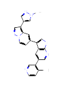 Cc1ccncc1-c1cnc2[nH]cc(-c3ccn4ncc(-c5cnn(C)c5)c4c3)c2c1